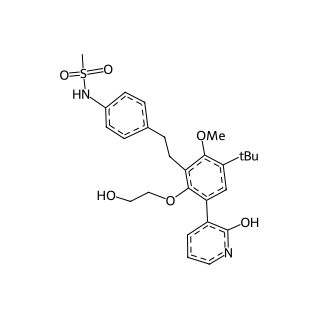 COc1c(C(C)(C)C)cc(-c2cccnc2O)c(OCCO)c1CCc1ccc(NS(C)(=O)=O)cc1